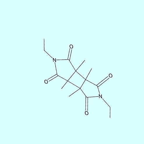 CCN1C(=O)C2(C)C(C)(C1=O)C1(C)C(=O)N(CC)C(=O)C21C